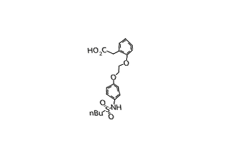 CCCCS(=O)(=O)Nc1ccc(OCCOc2ccccc2CC(=O)O)cc1